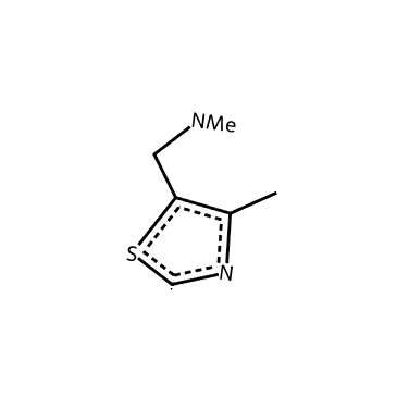 CNCc1s[c]nc1C